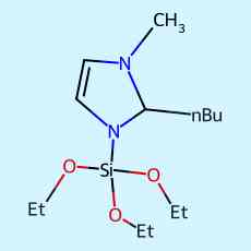 CCCCC1N(C)C=CN1[Si](OCC)(OCC)OCC